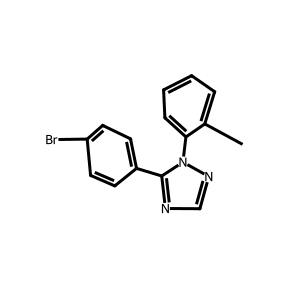 Cc1ccccc1-n1ncnc1-c1ccc(Br)cc1